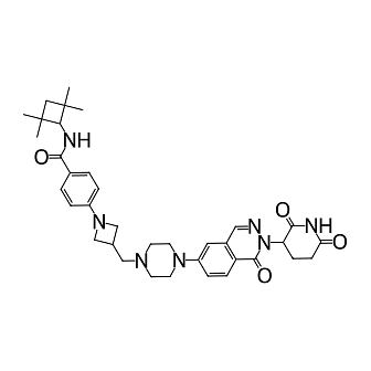 CC1(C)CC(C)(C)C1NC(=O)c1ccc(N2CC(CN3CCN(c4ccc5c(=O)n(C6CCC(=O)NC6=O)ncc5c4)CC3)C2)cc1